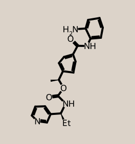 CC[C@H](NC(=O)O[C@@H](C)c1ccc(C(=O)Nc2ccccc2N)cc1)c1cccnc1